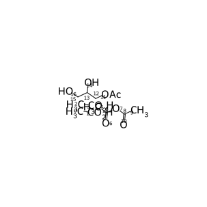 CC(=O)O.CC(=O)O.CC(=O)OC(C)=O.CC(=O)OCC(O)CO